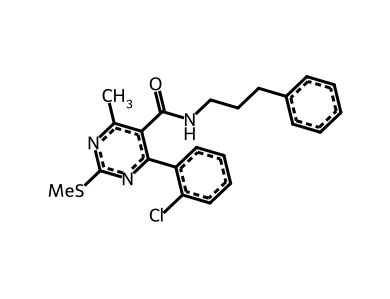 CSc1nc(C)c(C(=O)NCCCc2ccccc2)c(-c2ccccc2Cl)n1